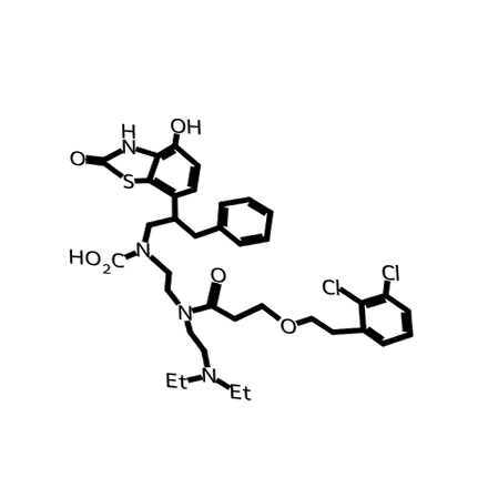 CCN(CC)CCN(CCN(CC(Cc1ccccc1)c1ccc(O)c2[nH]c(=O)sc12)C(=O)O)C(=O)CCOCCc1cccc(Cl)c1Cl